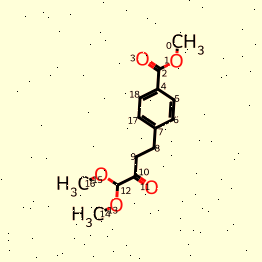 COC(=O)c1ccc(CCC(=O)C(OC)OC)cc1